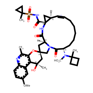 COc1ccc2nc(C(F)(F)F)c3c(c2c1)[C@](C)(O)C[C@]1(C[C@H]2C(=O)N[C@]4(C(=O)NS(=O)(=O)C5(C)CC5)C[C@H]4/C=C\CCCCC[C@H](N(C(=O)O)C4(C)CCC4)C(=O)N2C1)O3